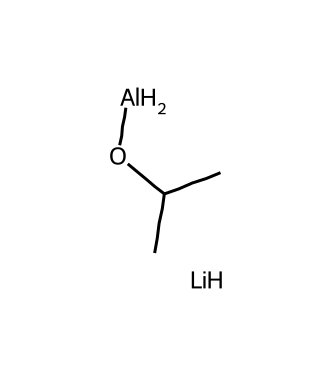 CC(C)[O][AlH2].[LiH]